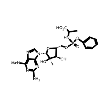 CNc1nc(N)nc2c1ncn2[C@@H]1O[C@H](COP(=O)(NC(C)C(=O)O)Oc2ccccc2)[C@@H](O)[C@@]1(C)O